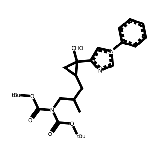 CC(CC1CC1(C=O)c1cn(-c2ccccc2)cn1)CN(C(=O)OC(C)(C)C)C(=O)OC(C)(C)C